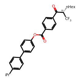 CCCCCC[C@@H](C(=O)c1ccc(C(=O)Oc2ccc(-c3ccc(C(C)C)cc3)cc2)cc1)C(F)(F)F